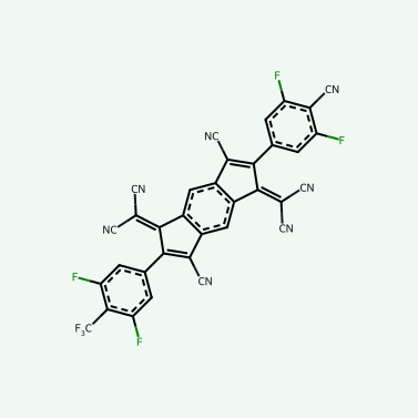 N#CC(C#N)=C1C(c2cc(F)c(C#N)c(F)c2)=C(C#N)c2cc3c(cc21)C(C#N)=C(c1cc(F)c(C(F)(F)F)c(F)c1)C3=C(C#N)C#N